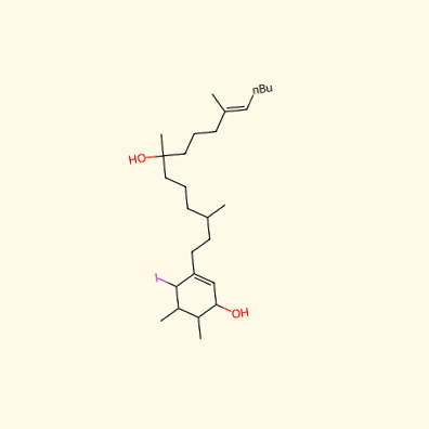 CCCC/C=C(\C)CCCC(C)(O)CCCC(C)CCC1=CC(O)C(C)C(C)C1I